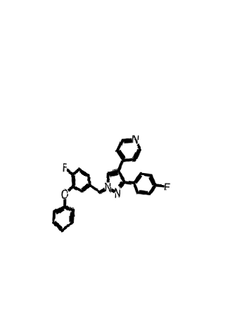 Fc1ccc(-c2nn(Cc3ccc(F)c(Oc4ccccc4)c3)cc2-c2ccncc2)cc1